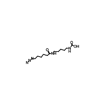 [N-]=[N+]=NCCCCCC(=O)NCCCCCNC(=O)O